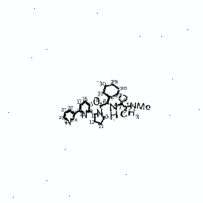 CN[C@@H](C)C(=O)N[C@H](C(=O)N1CCC[C@H]1c1cccc(-c2cccnc2)n1)C1CCCCC1